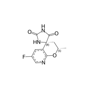 C[C@H]1C[C@@]2(NC(=O)NC2=O)c2cc(F)cnc2O1